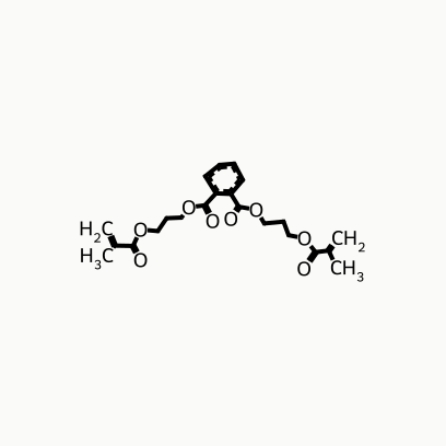 C=C(C)C(=O)OCCCOC(=O)c1ccccc1C(=O)OCCCOC(=O)C(=C)C